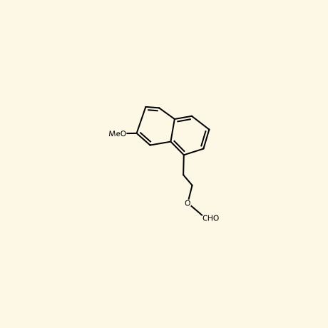 COc1ccc2cccc(CCOC=O)c2c1